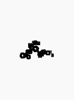 CC(C)(C)c1ncc(OOC(=O)N2CCCCC2)c2cc(-c3cnn4cc(C(F)(F)F)ccc34)ccc12